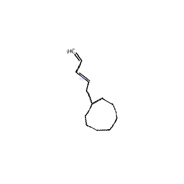 [CH]=C/C=C/CC1CCCCCCC1